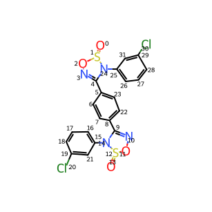 O=S1ON=C(c2ccc(C3=NOS(=O)N3c3cccc(Cl)c3)cc2)N1c1cccc(Cl)c1